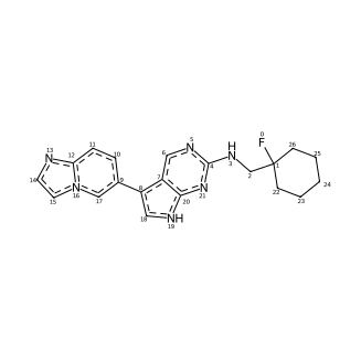 FC1(CNc2ncc3c(-c4ccc5nccn5c4)c[nH]c3n2)CCCCC1